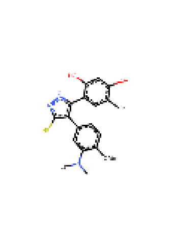 CCN(C)c1cc(-c2c(S)n[nH]c2-c2cc(C(C)C)c(O)cc2O)ccc1OC